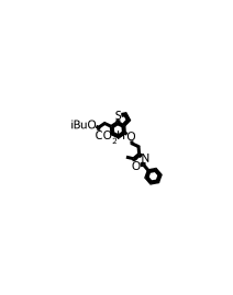 Cc1oc(-c2ccccc2)nc1CCOc1ccc(CC(OCC(C)C)C(=O)O)c2sccc12